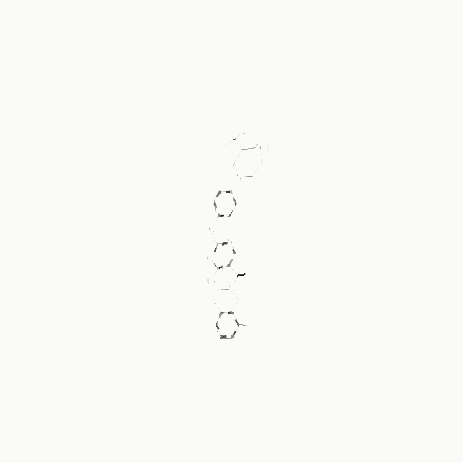 O=C1c2cnc(Nc3ccc(N4CCNC(C(F)(F)F)C4)cc3)nc2NCN1Cc1c(Cl)cccc1Cl